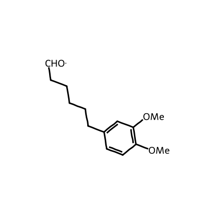 COc1ccc(CCCCC[C]=O)cc1OC